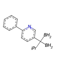 BC(B)(c1ccc(-c2ccccc2)nc1)C(C)C